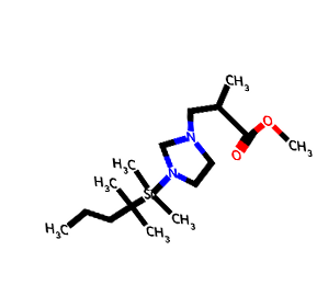 CCCC(C)(C)[Si](C)(C)N1CCN(CC(C)C(=O)OC)C1